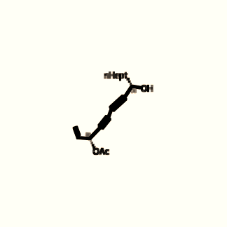 C=C[C@H](C#CC#C[C@@H](O)CCCCCCC)OC(C)=O